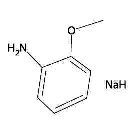 COc1ccccc1N.[NaH]